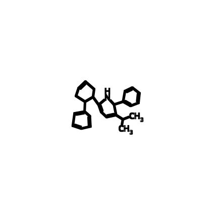 CC(C)C1=CC=C(C2CC=CCC2c2ccccc2)NC1c1ccccc1